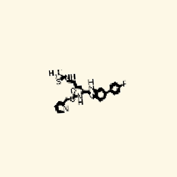 CC(=S)NCCCC[C@H](NC(=O)OCc1ccccn1)c1nc2ccc(-c3ccc(F)cc3)cc2[nH]1